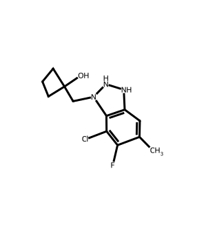 Cc1cc2c(c(Cl)c1F)N(CC1(O)CCC1)NN2